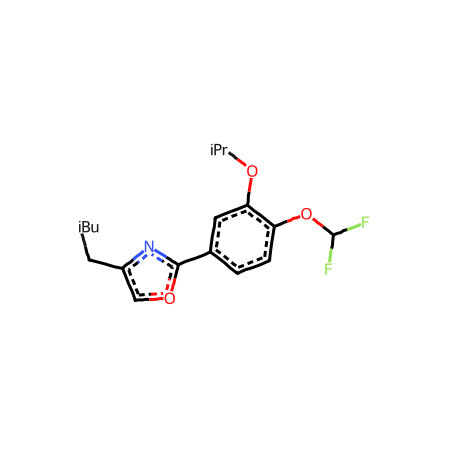 CCC(C)Cc1coc(-c2ccc(OC(F)F)c(OC(C)C)c2)n1